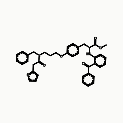 COC(=O)[C@H](Cc1ccc(OCCCN(Cc2ccccc2)C(=O)Cc2cccs2)cc1)Nc1ccccc1C(=O)c1ccccc1